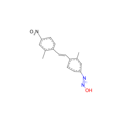 Cc1cc(/N=N/O)ccc1C=Cc1ccc([N+](=O)[O-])cc1C